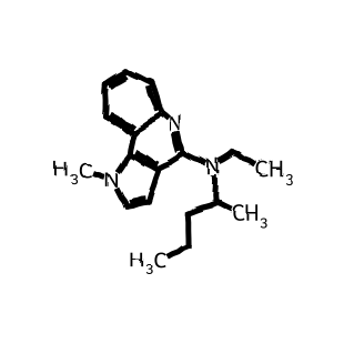 CCCC(C)N(CC)c1nc2ccccc2c2c1ccn2C